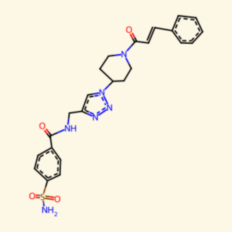 NS(=O)(=O)c1ccc(C(=O)NCc2cn(C3CCN(C(=O)/C=C/c4ccccc4)CC3)nn2)cc1